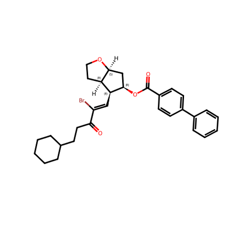 O=C(CCC1CCCCC1)C(Br)=C[C@H]1[C@H]2CCO[C@H]2C[C@H]1OC(=O)c1ccc(-c2ccccc2)cc1